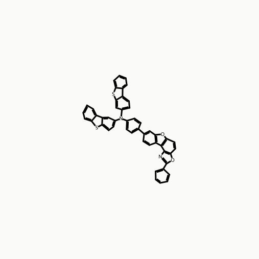 c1ccc(-c2nc3c(ccc4oc5cc(-c6ccc(N(c7ccc8c(c7)sc7ccccc78)c7ccc8sc9ccccc9c8c7)cc6)ccc5c43)o2)cc1